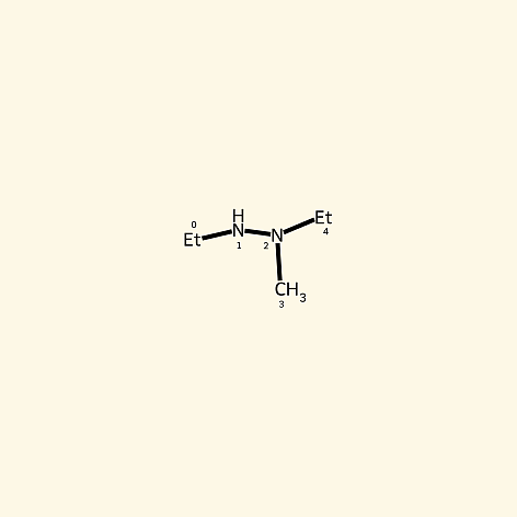 CCNN(C)CC